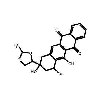 CC1OCC(C2(O)Cc3cc4c(c(O)c3C(Br)C2)C(=O)c2ccccc2C4=O)O1